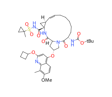 COc1ccc2c(O[C@@H]3C[C@H]4C(=O)N[C@]5(C(=O)NS(=O)(=O)C6(C)CC6)C[C@H]5/C=C\CCCCC[C@H](NC(=O)OC(C)(C)C)C(=O)N4C3)cc(OC3CCC3)nc2c1C